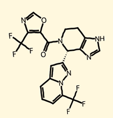 O=C(c1ocnc1C(F)(F)F)N1CCc2[nH]cnc2[C@@H]1c1cc2cccc(C(F)(F)F)n2n1